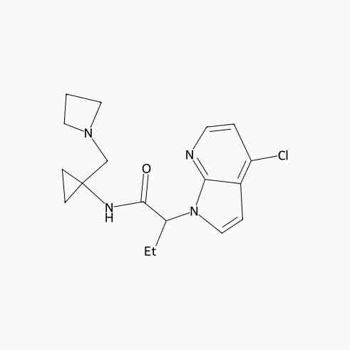 CCC(C(=O)NC1(CN2CCC2)CC1)n1ccc2c(Cl)ccnc21